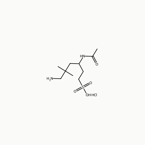 CC(=O)NC(CCS(=O)(=O)O)CC(C)(C)CN.Cl